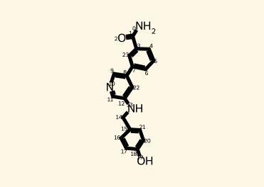 NC(=O)c1cccc(-c2cncc(NCc3ccc(O)cc3)c2)c1